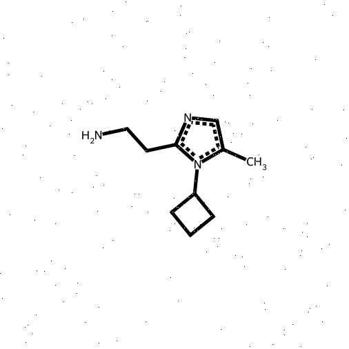 Cc1cnc(CCN)n1C1CCC1